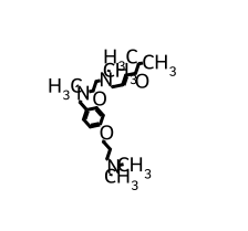 CC(C)C(=O)/C=C/CN(C)CC(=O)N(C)Cc1ccc(OCCCN(C)C)cc1